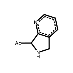 CC(=O)C1NCc2cccnc21